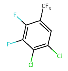 Fc1c(C(F)(F)F)[c]c(Cl)c(Cl)c1F